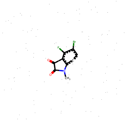 CN1C(=O)C(=O)c2c1ccc(Br)c2F